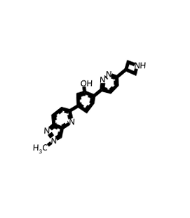 Cn1cc2nc(-c3ccc(-c4ccc(C5CNC5)nn4)c(O)c3)ccc2n1